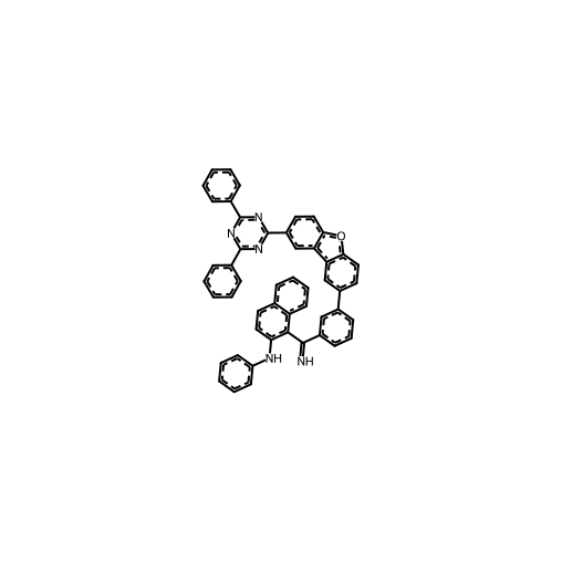 N=C(c1cccc(-c2ccc3oc4ccc(-c5nc(-c6ccccc6)nc(-c6ccccc6)n5)cc4c3c2)c1)c1c(Nc2ccccc2)ccc2ccccc12